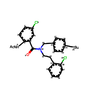 CC(=O)Nc1ccc(Cl)cc1C(=O)N(CCc1ccccc1Cl)Cc1ccc(C(C)(C)C)cc1